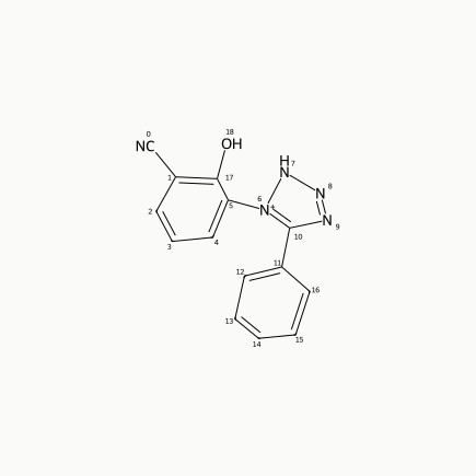 N#Cc1cccc(-[n+]2[nH]nnc2-c2ccccc2)c1O